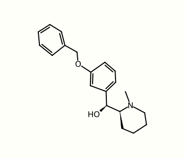 CN1CCCC[C@H]1[C@@H](O)c1cccc(OCc2ccccc2)c1